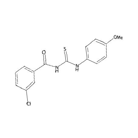 COc1ccc(NC(=S)NC(=O)c2cccc(Cl)c2)cc1